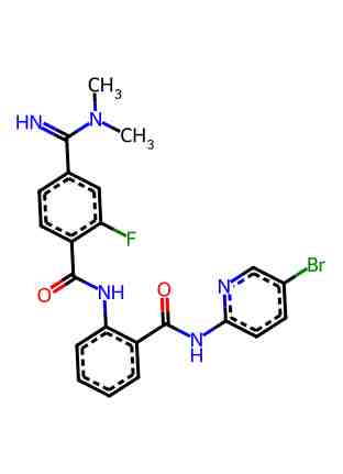 CN(C)C(=N)c1ccc(C(=O)Nc2ccccc2C(=O)Nc2ccc(Br)cn2)c(F)c1